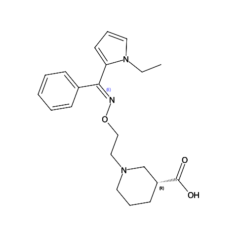 CCn1cccc1/C(=N/OCCN1CCC[C@@H](C(=O)O)C1)c1ccccc1